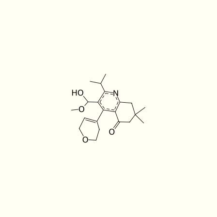 COC(O)c1c(C(C)C)nc2c(c1C1=CCOCC1)C(=O)CC(C)(C)C2